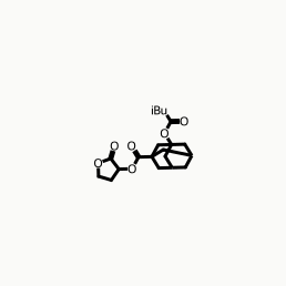 CCC(C)C(=O)OC12CC3CC(C1)CC(C(=O)OC1CCOC1=O)(C3)C2